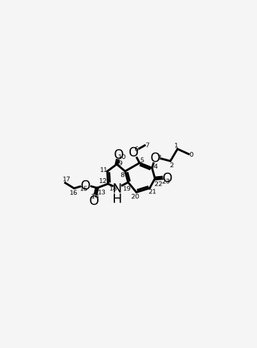 CCCOc1c(OC)c2c(=O)cc(C(=O)OCC)[nH]c2ccc1=O